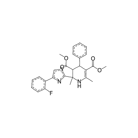 COC(=O)C1=C(C)NC(C)(c2nc(-c3ccccc3F)cs2)C(C(=O)OC)C1c1ccccc1